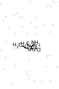 CCCCc1nc2nc(Cl)nc(N)c2n1C